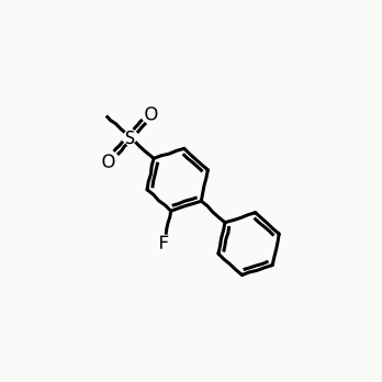 CS(=O)(=O)c1ccc(-c2ccccc2)c(F)c1